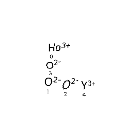 [Ho+3].[O-2].[O-2].[O-2].[Y+3]